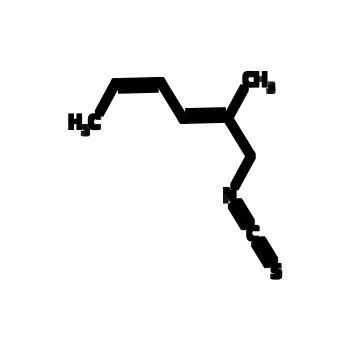 C/C=C\C=C(/C)CN=C=S